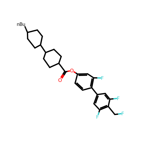 CCCCC1CCC(C2CCC(C(=O)Oc3ccc(-c4cc(F)c(CF)c(F)c4)c(F)c3)CC2)CC1